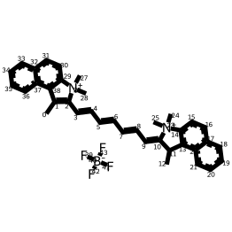 CC1=C(C=CC=CC=CC=C2C(C)c3c(ccc4ccccc34)[N+]2(C)C)[N+](C)(C)c2ccc3ccccc3c21.F[B-](F)(F)F